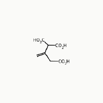 C=C(CC(=O)O)C(C(=O)O)C(=O)O